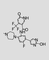 CN1CCN(c2cc(F)c(-c3cnc(O)nc3)cc2NC(=O)c2c[nH]c(=O)cc2C(F)(F)F)CC1